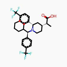 CC(C(=O)O)[C@@H]1CCN([C@@H](c2ccc(C(F)(F)F)cc2)C2CCCCC2)[C@H](c2ccc(C(F)(F)F)cc2)C1